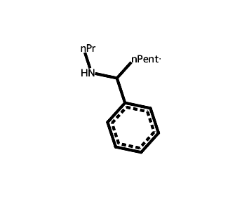 CCCC[CH]C(NCCC)c1ccccc1